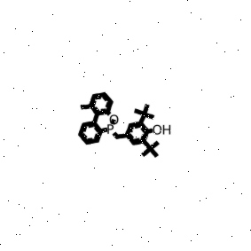 Cc1cccc2c1-c1ccccc1P(Cc1cc(C(C)(C)C)c(O)c(C(C)(C)C)c1)O2